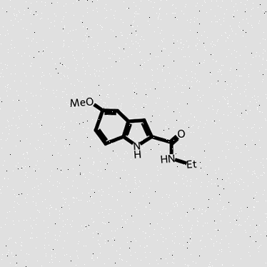 CCNC(=O)c1cc2cc(OC)ccc2[nH]1